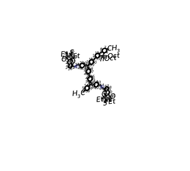 CCCCCCCCC1(CCCCCCCC)c2cc(C)ccc2-c2ccc(-c3ccc(N(c4ccc(/C=C/c5ccc(C=C6C(=O)N(CC)C(=S)N(CC)C6=O)s5)cc4)c4ccc(-c5ccc(N(c6ccc(C)cc6)c6ccc(/C=C/c7ccc(C=C8C(=O)N(CC)C(=S)N(CC)C8=O)s7)cc6)cc5)cc4)cc3)cc21